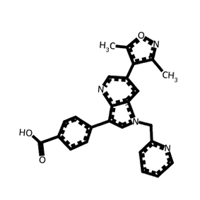 Cc1noc(C)c1-c1cnc2c(-c3ccc(C(=O)O)cc3)cn(Cc3ccccn3)c2c1